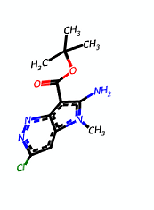 Cn1c(N)c(C(=O)OC(C)(C)C)c2nnc(Cl)cc21